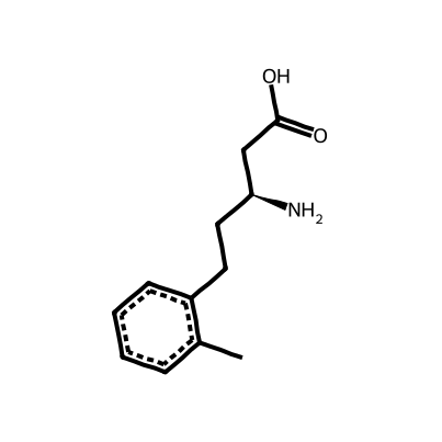 Cc1ccccc1CC[C@H](N)CC(=O)O